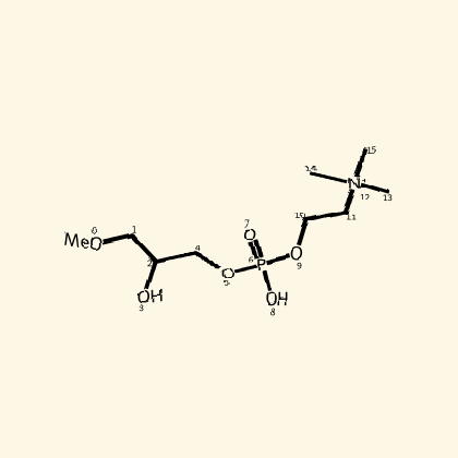 COCC(O)COP(=O)(O)OCC[N+](C)(C)C